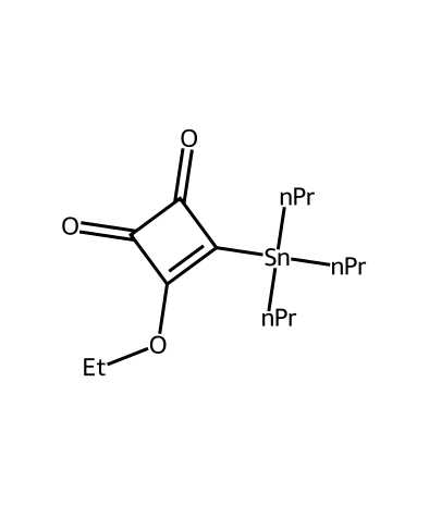 CC[CH2][Sn]([CH2]CC)([CH2]CC)[c]1c(OCC)c(=O)c1=O